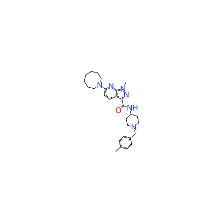 Cc1ccc(CN2CCC(NC(=O)c3nn(C)c4nc(N5CCCCCCC5)ccc34)CC2)cc1